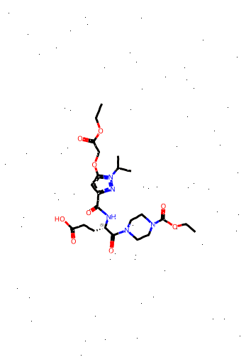 CCOC(=O)COc1cc(C(=O)N[C@@H](CCC(=O)O)C(=O)N2CCN(C(=O)OCC)CC2)nn1C(C)C